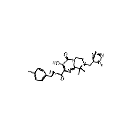 Cn1nnnc1CN1CCn2c(nc(C(=O)NCc3ccc(F)cc3)c(O)c2=O)C1(C)C